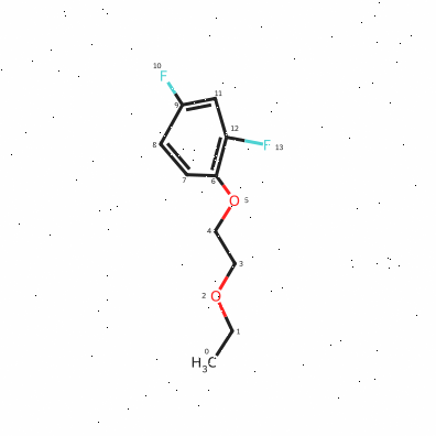 CCOCCOc1ccc(F)cc1F